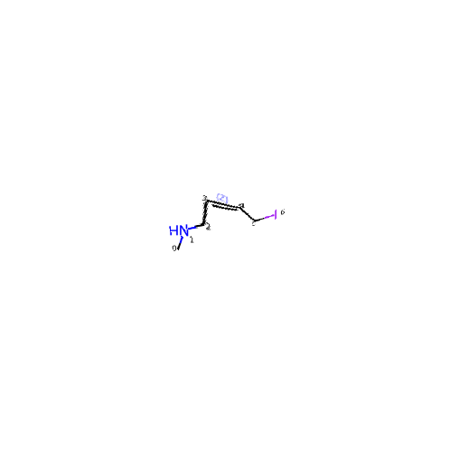 CNC/C=C\CI